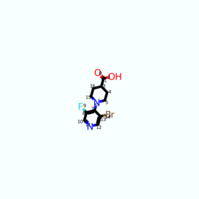 O=C(O)C1CCN(c2c(F)cncc2Br)CC1